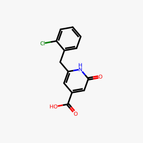 O=C(O)c1cc(Cc2ccccc2Cl)[nH]c(=O)c1